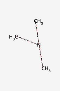 CCCCCCCCCCCCCCCCCCCCCCCCCCCCCN(CCCCCCCCCCCCCCCCCCCCCCCCCCCCC)CCCCCCCCCCCCCCCCCCCCCCCCCCCCC